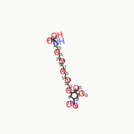 COc1cc([N+](=O)[O-])cc(OCCOCCOCCOCCOCCNC(=O)O)c1OC